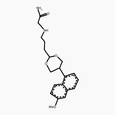 COc1ccc2c(C3COC(CCCNCC(N)=O)OC3)cccc2c1